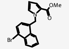 COC(=O)c1cccn1Cc1ccc(Br)c2ccccc12